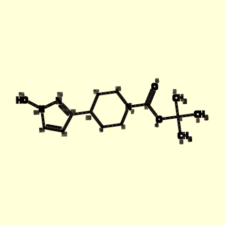 CC(C)(C)OC(=O)N1CCC(c2ccn(O)n2)CC1